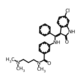 CN(C)CCCN(C)C(=O)c1cccc(N/C(=C2\C(=O)Nc3cc(Cl)ccc32)c2ccccc2)c1